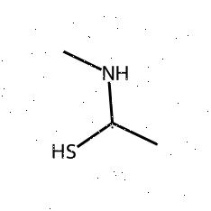 CN[C](C)S